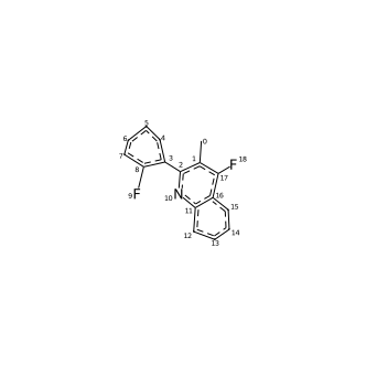 Cc1c(-c2ccccc2F)nc2ccccc2c1F